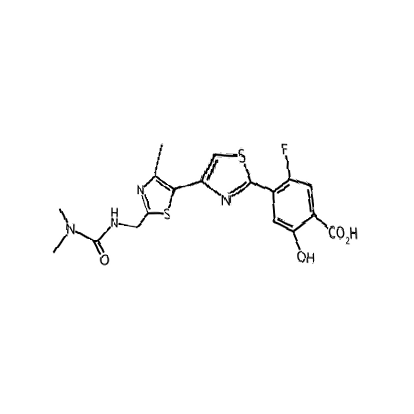 Cc1nc(CNC(=O)N(C)C)sc1-c1csc(-c2cc(O)c(C(=O)O)cc2F)n1